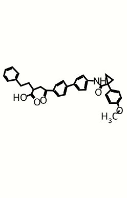 COc1ccc(C2(C(=O)Nc3ccc(-c4ccc(C(=O)CC(CCc5ccccc5)C(=O)O)cc4)cc3)CC2)cc1